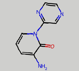 Nc1cccn(-c2cnccn2)c1=O